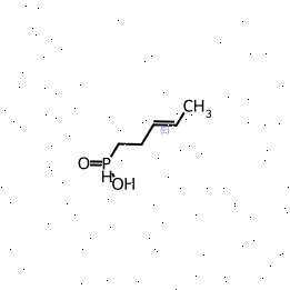 C/C=C/CC[PH](=O)O